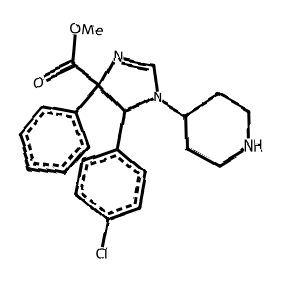 COC(=O)C1(c2ccccc2)N=CN(C2CCNCC2)C1c1ccc(Cl)cc1